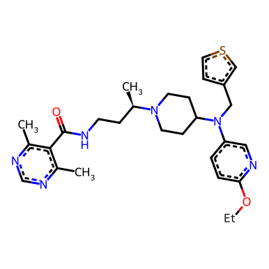 CCOc1ccc(N(Cc2ccsc2)C2CCN([C@H](C)CCNC(=O)c3c(C)ncnc3C)CC2)cn1